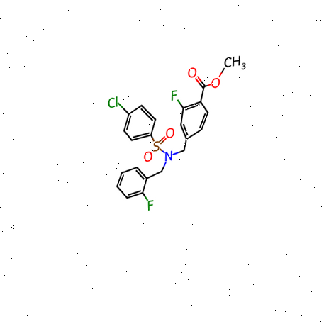 COC(=O)c1ccc(CN(Cc2ccccc2F)S(=O)(=O)c2ccc(Cl)cc2)cc1F